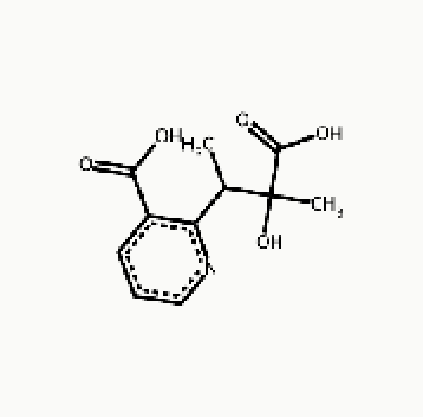 CC(c1ncccc1C(=O)O)C(C)(O)C(=O)O